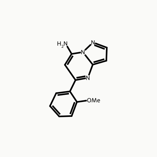 COc1ccccc1-c1cc(N)n2nccc2n1